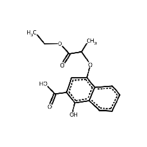 CCOC(=O)C(C)Oc1cc(C(=O)O)c(O)c2ccccc12